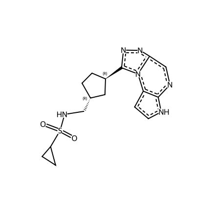 O=S(=O)(NC[C@@H]1CC[C@@H](c2nnc3cnc4[nH]ccc4n23)C1)C1CC1